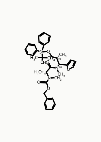 C[C@H](C(=O)N(C)[C@H](c1ccco1)[C@@H](C)CO[Si](c1ccccc1)(c1ccccc1)C(C)(C)C)N(C)C(=O)OCc1ccccc1